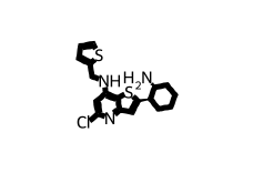 N[C@H]1CCCC[C@H]1c1cc2nc(Cl)cc(NCc3cccs3)c2s1